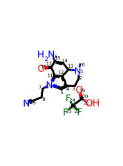 CN1CCc2cn(CCC#N)c3c2C1C=C(N)C3=O.O=C(O)C(F)(F)F